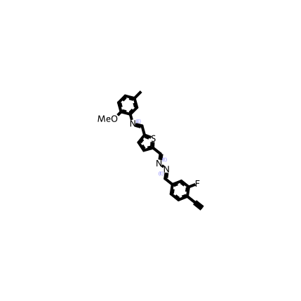 C#Cc1ccc(/C=N/N=C/c2ccc(/C=N/c3cc(C)ccc3OC)s2)cc1F